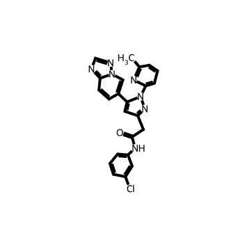 Cc1cccc(-n2nc(CC(=O)Nc3cccc(Cl)c3)cc2-c2ccc3ncnn3c2)n1